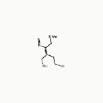 C=N/C(CNC)=C(/CCC(C)C)CC(C)CC